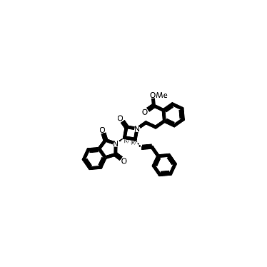 COC(=O)c1ccccc1CCN1C(=O)[C@@H](N2C(=O)c3ccccc3C2=O)[C@H]1C=Cc1ccccc1